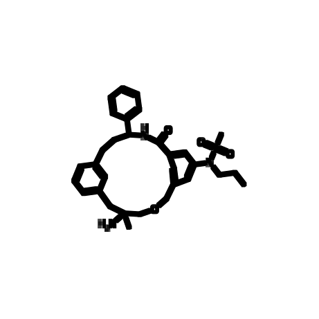 CCCN(c1cc2cc(c1)C(=O)NC(c1ccccc1)CCc1cccc(c1)CC(C)(N)COC2)S(C)(=O)=O